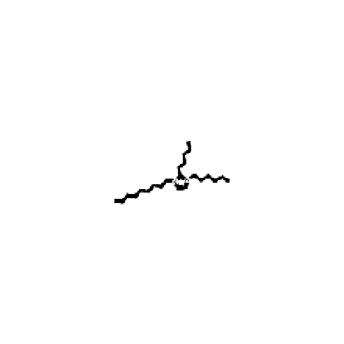 CCCCCCCCC[n+]1ccn(CCCCCC)c1CCCCC